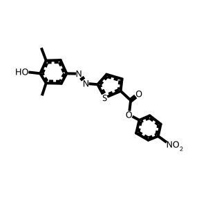 Cc1cc(/N=N/c2ccc(C(=O)Oc3ccc([N+](=O)[O-])cc3)s2)cc(C)c1O